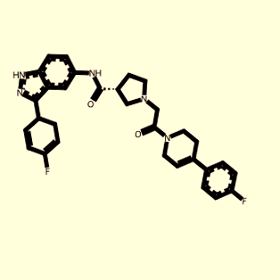 O=C(Nc1ccc2[nH]nc(C3C=CC(F)=CC3)c2c1)[C@@H]1CCN(CC(=O)N2CC=C(c3ccc(F)cc3)CC2)C1